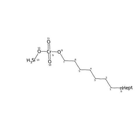 CCCCCCCCCCCCCC[O][Cr](=[O])(=[O])[O][SiH3]